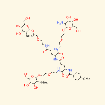 COC1CCC(C(=O)NC(CCC(=O)NC(CCC(=O)NCCOCCOC2OC(CO)C(O)C(O)C2NC(C)=O)C(=O)NCCOCCOC2OC(CO)C(O)C(O)C2N)C(=O)NCCOCCOC2OC(CO)C(O)C(O)C2NC(C)=O)CC1